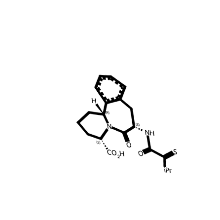 CC(C)C(=S)C(=O)N[C@H]1Cc2ccccc2[C@H]2CCC[C@@H](C(=O)O)N2C1=O